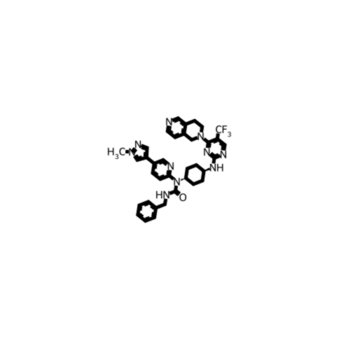 Cn1cc(-c2ccc(N(C(=O)NCc3ccccc3)[C@H]3CC[C@H](Nc4ncc(C(F)(F)F)c(N5CCc6cnccc6C5)n4)CC3)nc2)cn1